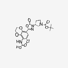 CC(C)(C)OC(=O)N1CCC(n2nc(-c3cc(Cl)c(NC(=O)O)c4c3OCCO4)oc2=O)C1